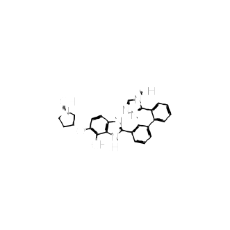 CN1CC[C@@H](Oc2ccc3nc(-c4cccc(-c5ccccc5-c5nncn5C)c4)[nH]c3c2C(F)(F)F)C1